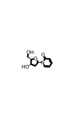 O=c1ccccn1[C@H]1C[C@H](O)[C@@H](CO)O1